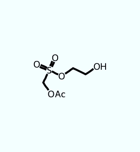 CC(=O)OCS(=O)(=O)OCCO